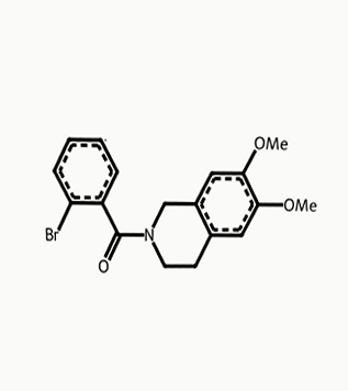 COc1cc2c(cc1OC)CN(C(=O)c1c[c]ccc1Br)CC2